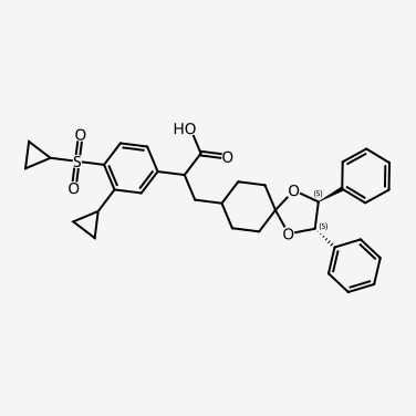 O=C(O)C(CC1CCC2(CC1)O[C@@H](c1ccccc1)[C@H](c1ccccc1)O2)c1ccc(S(=O)(=O)C2CC2)c(C2CC2)c1